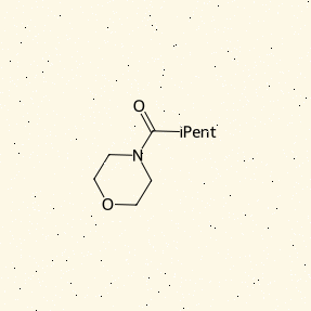 CCCC(C)C(=O)N1CCOCC1